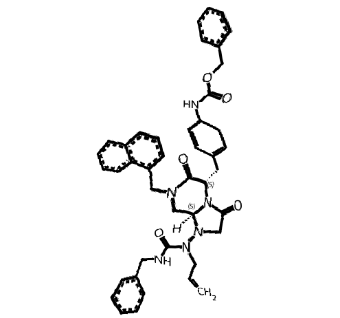 C=CCN(C(=O)NCc1ccccc1)N1CC(=O)N2[C@@H](CC3=CCC(NC(=O)OCc4ccccc4)C=C3)C(=O)N(Cc3cccc4ccccc34)C[C@@H]21